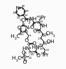 Cc1nc(COC(=O)N[C@@H](CS(C)(=O)=O)C(=O)N[C@H](CC(C)C)[C@@H](O)C[C@@H](C)C(=O)N[C@@H](C(=O)NCc2ccncc2)C(C)C)c(C)o1